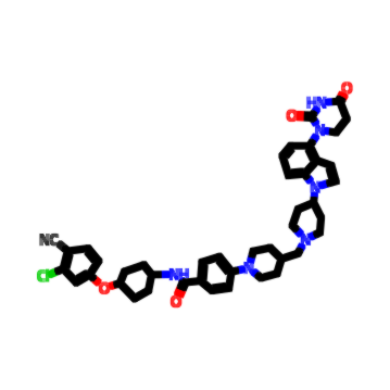 N#Cc1ccc(OC2CCC(NC(=O)c3ccc(N4CCC(CN5CCC(n6ccc7c(N8CCC(=O)NC8=O)cccc76)CC5)CC4)cc3)CC2)cc1Cl